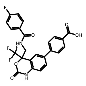 O=C1Nc2ccc(-c3ccc(C(=O)O)cc3)cc2C(CNC(=O)c2ccc(F)cc2)(C(F)(F)F)O1